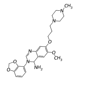 COc1cc2c(cc1OCCCN1CCN(C)CC1)N=CN(c1cccc3c1OCO3)C2N